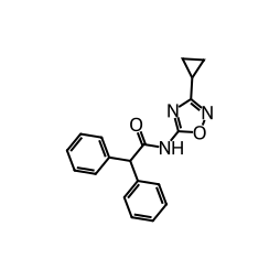 O=C(Nc1nc(C2CC2)no1)C(c1ccccc1)c1ccccc1